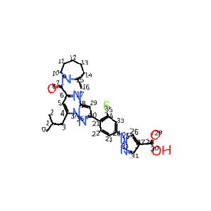 CC(C)Cc1cc(C(=O)N2CCCCC[C@H]2C)nc2cc(-c3ccc(-n4cc(C(=O)O)cn4)cc3F)nn12